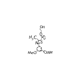 COc1cc(OC)cc(-c2nc(C)c(C(=O)OCCO)s2)c1